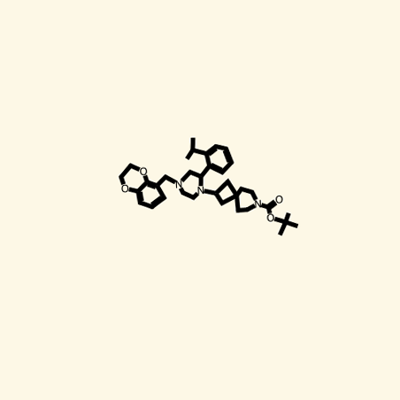 CC(C)c1ccccc1C1CN(Cc2cccc3c2OCCO3)CCN1C1CC2(CCN(C(=O)OC(C)(C)C)CC2)C1